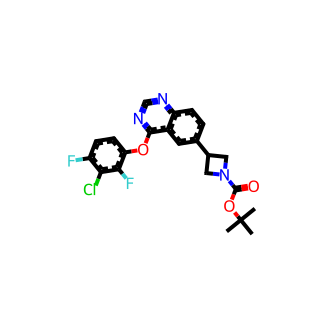 CC(C)(C)OC(=O)N1CC(c2ccc3ncnc(Oc4ccc(F)c(Cl)c4F)c3c2)C1